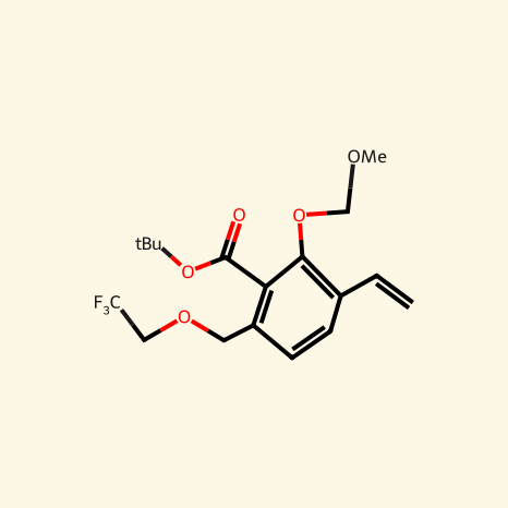 C=Cc1ccc(COCC(F)(F)F)c(C(=O)OC(C)(C)C)c1OCOC